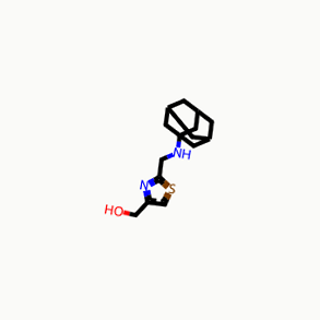 OCc1csc(CNC23CC4CC(CC(C4)C2)C3)n1